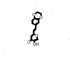 O=c1cc(/C=C/c2ccc3c(c2)OCCO3)occ1O